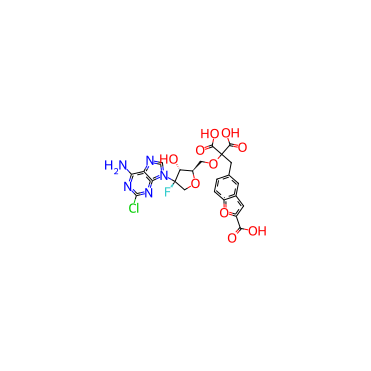 Nc1nc(Cl)nc2c1ncn2[C@@]1(F)CO[C@H](COC(Cc2ccc3oc(C(=O)O)cc3c2)(C(=O)O)C(=O)O)[C@H]1O